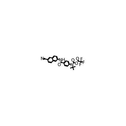 CC(C)(C)N(C(=O)OC(=O)C(F)(F)F)c1ccc(C(=O)Nc2ccc3cc(C#N)ccc3c2)cc1